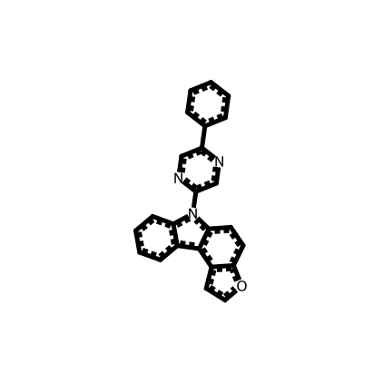 c1ccc(-c2cnc(-n3c4ccccc4c4c5ccoc5ccc43)cn2)cc1